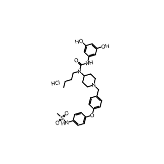 CCCCN(C(=O)Nc1cc(O)cc(O)c1)C1CCN(Cc2ccc(Oc3ccc(NS(C)(=O)=O)cc3)cc2)CC1.Cl